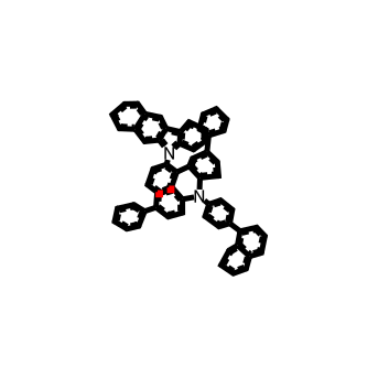 c1ccc(-c2ccc(N(c3ccc(-c4cccc5ccccc45)cc3)c3ccc(-c4ccccc4)cc3-c3ccccc3-n3c4ccccc4c4cc5ccccc5cc43)cc2)cc1